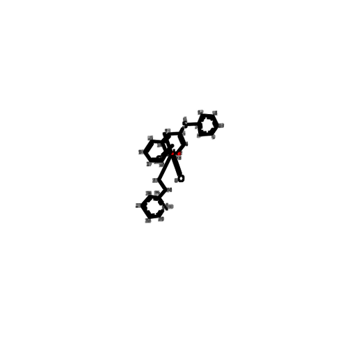 O=C1CC2C=C(Sc3ccccc3)C=C3C=CC=CC32C(=O)N1CCc1ccccn1